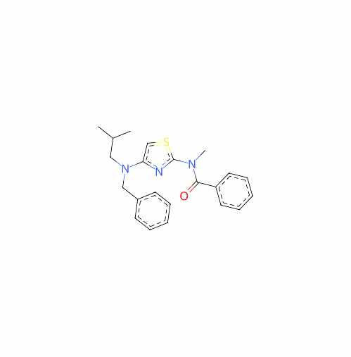 CC(C)CN(Cc1ccccc1)c1csc(N(C)C(=O)c2ccccc2)n1